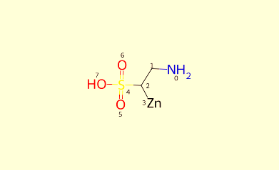 NC[CH]([Zn])S(=O)(=O)O